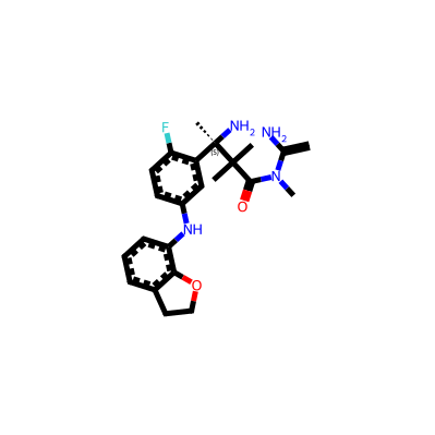 C=C(N)N(C)C(=O)C(C)(C)[C@](C)(N)c1cc(Nc2cccc3c2OCC3)ccc1F